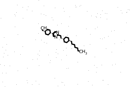 CCCCCCC[C@H]1CC[C@H](CCc2ncc([C@H]3CC[C@H](CC)CC3)cn2)CC1